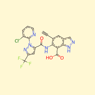 C#Cc1cc2cn[nH]c2c(C(=O)O)c1NC(=O)c1cc(C(F)(F)F)nn1-c1ncccc1Cl